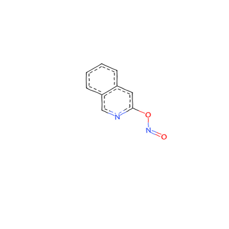 O=NOc1cc2ccccc2cn1